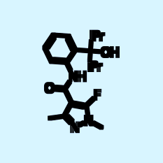 Cc1nn(C)c(F)c1C(=O)Nc1ccccc1C(O)(C(C)C)C(C)C